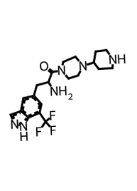 NC(Cc1cc(C(F)(F)F)c2[nH]ncc2c1)C(=O)N1CCN(C2CCNCC2)CC1